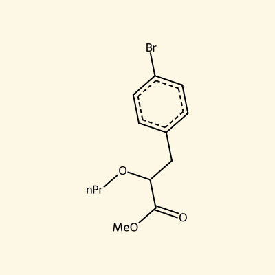 CCCOC(Cc1ccc(Br)cc1)C(=O)OC